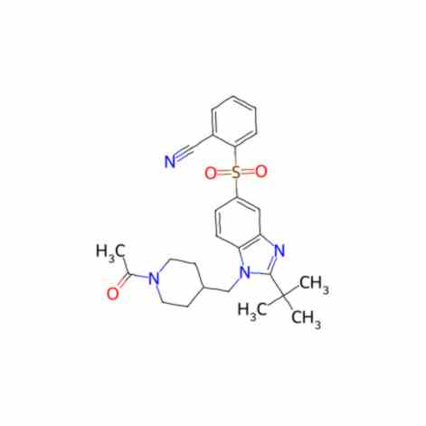 CC(=O)N1CCC(Cn2c(C(C)(C)C)nc3cc(S(=O)(=O)c4ccccc4C#N)ccc32)CC1